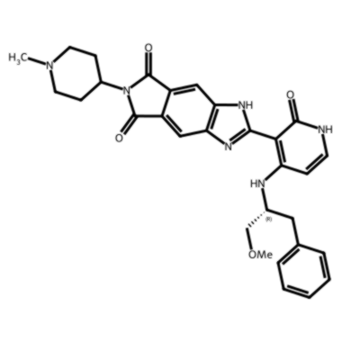 COC[C@@H](Cc1ccccc1)Nc1cc[nH]c(=O)c1-c1nc2cc3c(cc2[nH]1)C(=O)N(C1CCN(C)CC1)C3=O